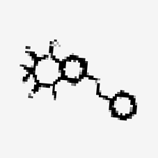 CCCCN1C(=O)C(C)(C)C(=O)N(C)c2cc(OCc3ccccc3)ccc21